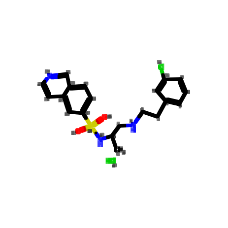 CC(CNCCc1cccc(Cl)c1)NS(=O)(=O)c1ccc2cnccc2c1.Cl